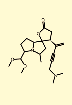 C=C(C#CCN(C)C)[C@@H]1CC(=O)OC12CC(C)N1C(C(OC)OC)CCC12